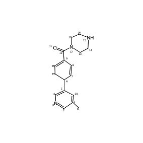 Cc1cncc(C2C=CC(C(=O)N3CCNCC3)=CC2)c1